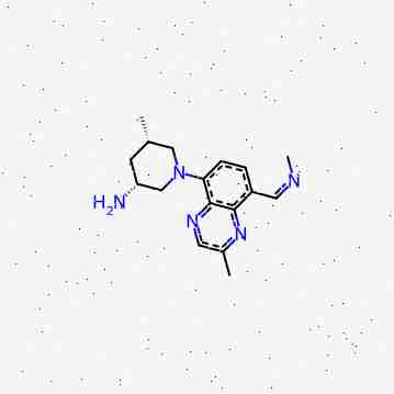 C/N=C\c1ccc(N2C[C@@H](C)C[C@@H](N)C2)c2ncc(C)nc12